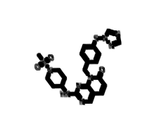 CS(=O)(=O)N1CCC(Nc2ncc3ccc(=O)n(Cc4ccc(Sn5cncn5)cc4)c3n2)CC1